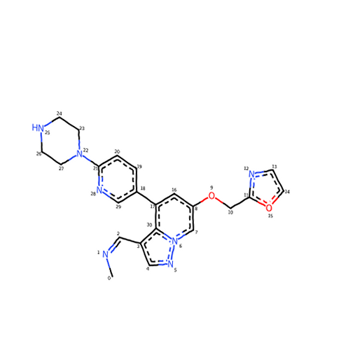 C/N=C\c1cnn2cc(OCc3ncco3)cc(-c3ccc(N4CCNCC4)nc3)c12